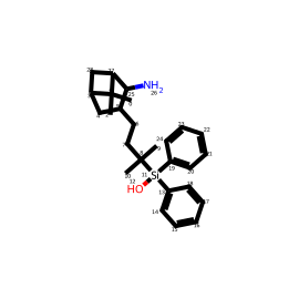 CC1(C)C2CC(CCC(C)(C)[Si](O)(c3ccccc3)c3ccccc3)C(N)C1C2